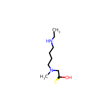 CCNCCCCN(C)CC(O)=S